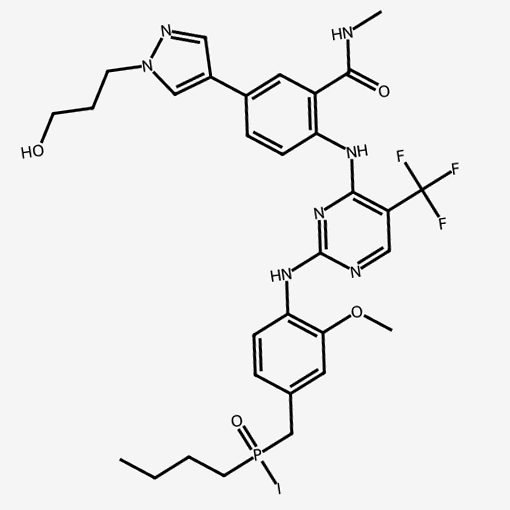 CCCCP(=O)(I)Cc1ccc(Nc2ncc(C(F)(F)F)c(Nc3ccc(-c4cnn(CCCO)c4)cc3C(=O)NC)n2)c(OC)c1